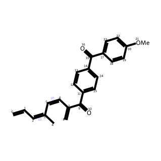 C=C/C=C(C)\C=C/C(=C)C(=O)c1ccc(C(=O)c2ccc(OC)cc2)cc1